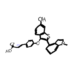 Cn1ccc2c(-c3sc4cc(O)ccc4c3Oc3ccc(/C=C/C(=O)O)cc3)cccc21